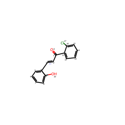 O=C(/C=C/c1ccccc1O)c1ccccc1Cl